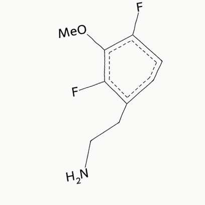 COc1c(F)ccc(CCN)c1F